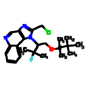 CC(C)(F)C(CO[Si](C)(C)C(C)(C)C)n1c(CCl)nc2cnc3ccccc3c21